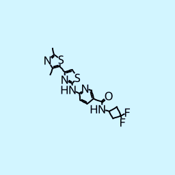 Cc1nc(C)c(-c2csc(Nc3ccc(C(=O)NC4CC(F)(F)C4)cn3)n2)s1